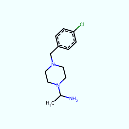 CC(N)N1CCN(Cc2ccc(Cl)cc2)CC1